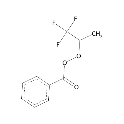 CC(OOC(=O)c1ccccc1)C(F)(F)F